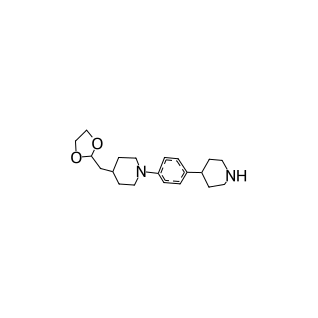 c1cc(N2CCC(CC3OCCO3)CC2)ccc1C1CCNCC1